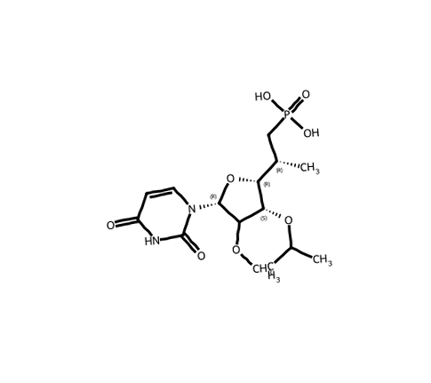 COC1[C@@H](OC(C)C)[C@@H]([C@@H](C)CP(=O)(O)O)O[C@H]1n1ccc(=O)[nH]c1=O